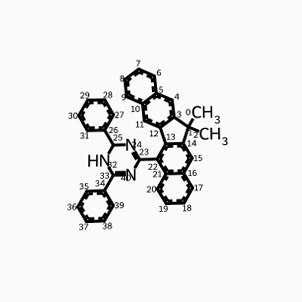 CC1(C)c2cc3ccccc3cc2-c2c1cc1ccccc1c2C1=NC(c2ccccc2)NC(c2ccccc2)=N1